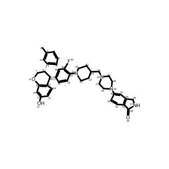 Cc1cccc([C@H]2COc3cc(O)ccc3[C@H]2c2ccc(N3CCC(CN4CCN(c5ccc6c(c5)CNC6=O)CC4)CC3)c(F)c2)c1